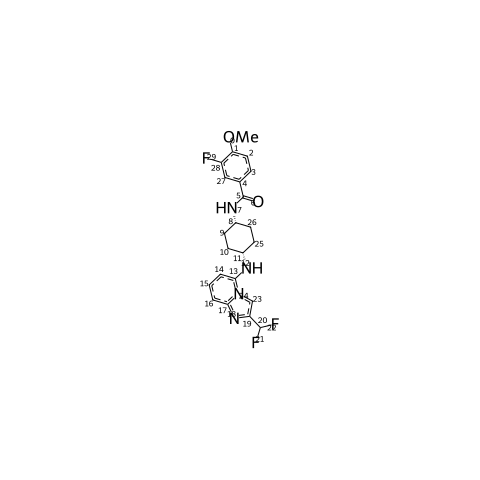 COc1ccc(C(=O)N[C@H]2CC[C@@H](Nc3cccc4nc(C(F)F)cn34)CC2)cc1F